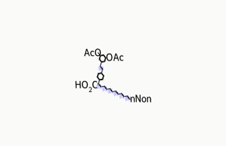 CCCCCCCCC/C=C/C=C/C=C/C=C/C=C/C=C(/C(=O)O)c1ccc(/C=C/c2cc(OC(C)=O)cc(OC(C)=O)c2)cc1